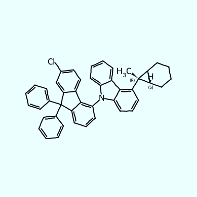 C[C@@]1(c2cccc3c2c2ccccc2n3-c2cccc3c2-c2ccc(Cl)cc2C3(c2ccccc2)c2ccccc2)C2CCCC[C@@H]21